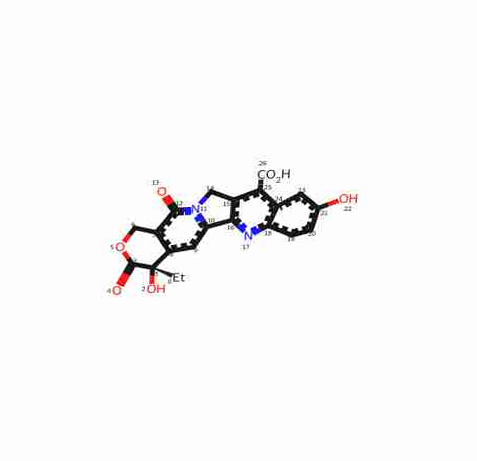 CC[C@@]1(O)C(=O)OCc2c1cc1n(c2=O)Cc2c-1nc1ccc(O)cc1c2C(=O)O